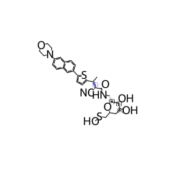 C/C(=C(/C#N)C(=O)NC[C@H]1OC(CSO)C[C@@H](O)[C@@H]1O)c1ccc(-c2ccc3cc(N4CCOCC4)ccc3c2)s1